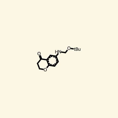 CC(C)(C)OCNc1ccc2c(c1)C(=O)CCO2